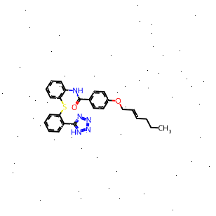 CCCC=CCOc1ccc(C(=O)Nc2ccccc2Sc2ccccc2-c2nnn[nH]2)cc1